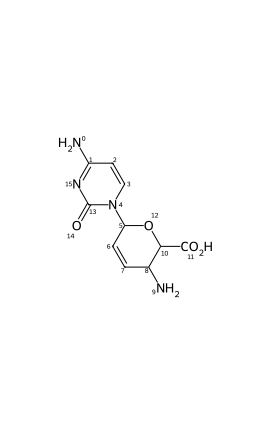 Nc1ccn(C2C=CC(N)C(C(=O)O)O2)c(=O)n1